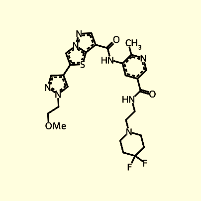 COCCn1cc(-c2cn3ncc(C(=O)Nc4cc(C(=O)NCCN5CCC(F)(F)CC5)cnc4C)c3s2)cn1